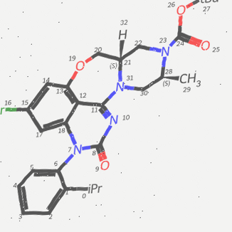 CC(C)c1ccccc1-n1c(=O)nc2c3c(cc(Br)cc31)OC[C@@H]1CN(C(=O)OC(C)(C)C)[C@@H](C)CN21